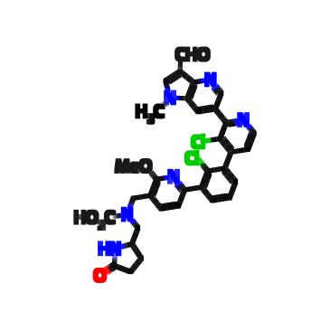 COc1nc(-c2cccc(-c3ccnc(-c4cnc5c(C=O)cn(C)c5c4)c3Cl)c2Cl)ccc1CN(CC1CCC(=O)N1)C(=O)O